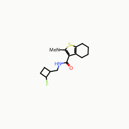 CNc1sc2c(c1C(=O)NCC1CCC1F)CCCC2